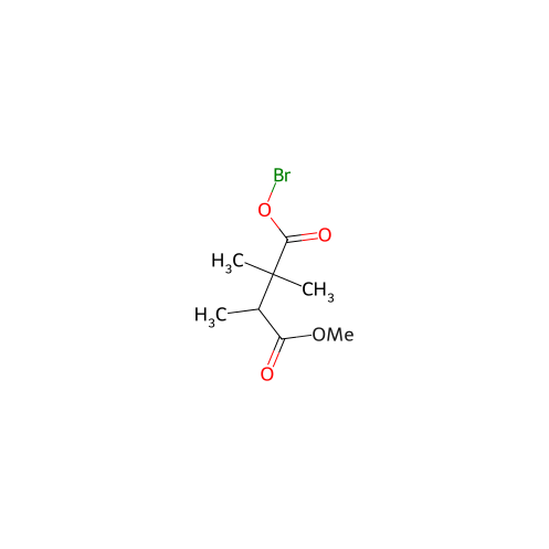 COC(=O)C(C)C(C)(C)C(=O)OBr